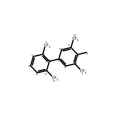 Cc1c(C(F)(F)F)cc(-c2c(C(F)(F)F)cccc2C(F)(F)F)cc1C(F)(F)F